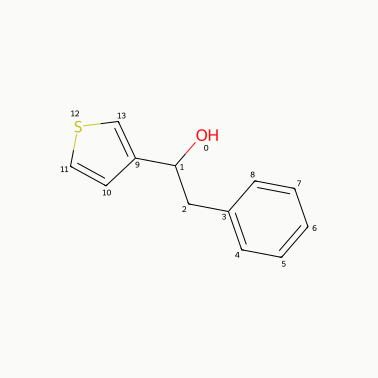 OC(Cc1ccccc1)c1ccsc1